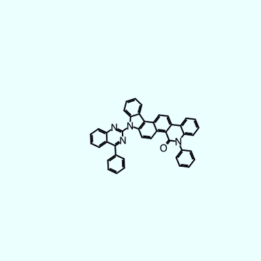 O=c1c2c3ccc4c(c3ccc2c2ccccc2n1-c1ccccc1)c1ccccc1n4-c1nc(-c2ccccc2)c2ccccc2n1